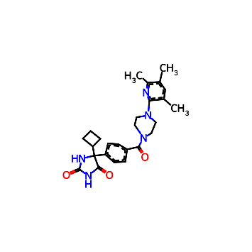 Cc1cc(C)c(N2CCN(C(=O)c3ccc(C4(C5CCC5)NC(=O)NC4=O)cc3)CC2)nc1C